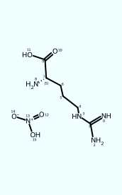 N=C(N)NCCC[C@H](N)C(=O)O.O=[N+]([O-])O